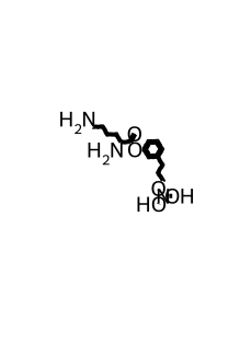 NCCCCC(N)C(=O)Oc1cccc(CCCON(O)O)c1